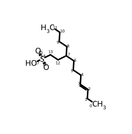 CCC=CCCCC(CCCC)CCS(=O)(=O)O